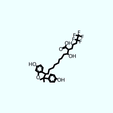 CC1(c2ccc(O)cc2)COc2cc(O)ccc2C1CCCCCCCCC(O)C(CCCC(F)(F)C(F)(F)F)C(=O)O